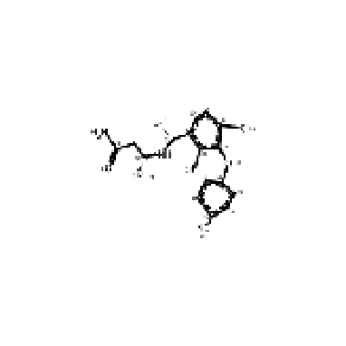 CC[C@@H](N[C@H](C)CC(N)=O)c1ccc(Cl)c(Oc2ccc(C#N)cc2)c1F